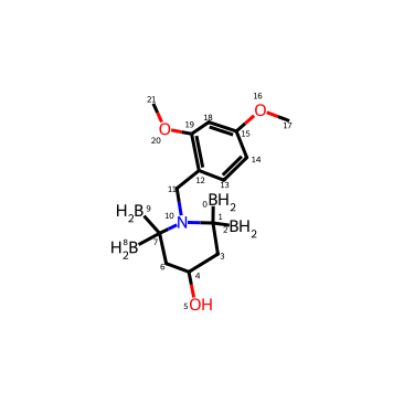 BC1(B)CC(O)CC(B)(B)N1Cc1ccc(OC)cc1OC